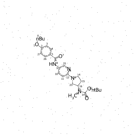 CCCCOc1ccc(C(=O)Nc2ccc(N3CCC(N(C)C(=O)OC(C)(C)C)C3)nc2)cc1